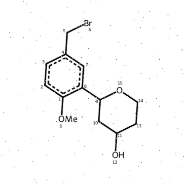 COc1ccc(CBr)cc1C1CC(O)CCO1